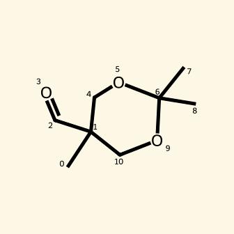 CC1(C=O)COC(C)(C)OC1